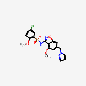 COc1ccc(Br)cc1S(=O)(=O)Nc1noc2cc(Cn3cccn3)cc(OC)c12